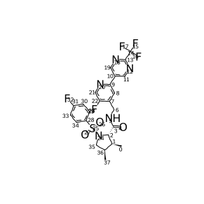 C[C@@H]1[C@@H](C(=O)NCc2cc(-c3cnc(C(F)(F)F)nc3)ncc2F)N(S(=O)(=O)c2ccc(F)cc2)C[C@@H]1C